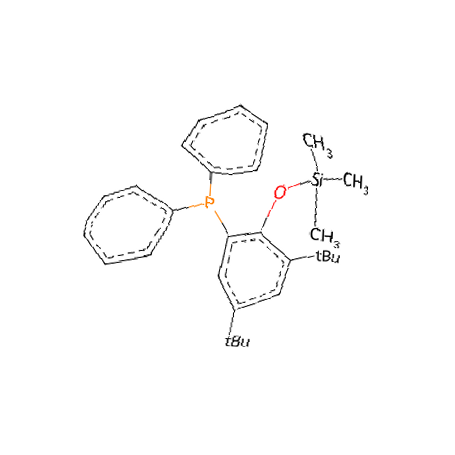 CC(C)(C)c1cc(P(c2ccccc2)c2ccccc2)c(O[Si](C)(C)C)c(C(C)(C)C)c1